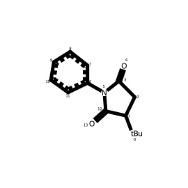 CC(C)(C)C1CC(=O)N(c2ccccc2)C1=O